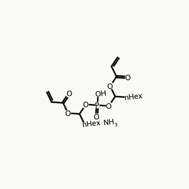 C=CC(=O)OC(CCCCCC)OP(=O)(O)OC(CCCCCC)OC(=O)C=C.N